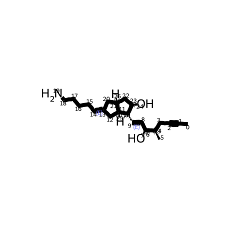 CC#CC[C@@H](C)[C@H](O)/C=C/[C@@H]1[C@H]2C/C(=C/CCCCN)C[C@H]2C[C@H]1O